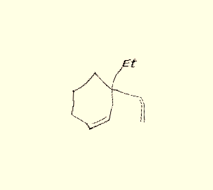 C=CC1(CC)C=CCCC1